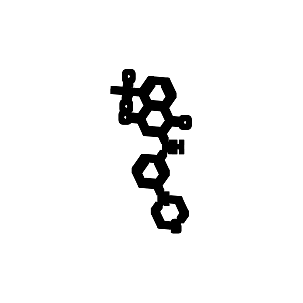 CS(=O)(=O)c1cccc2c1C(=O)C=C(Nc1cccc(N3CCSCC3)c1)C2=O